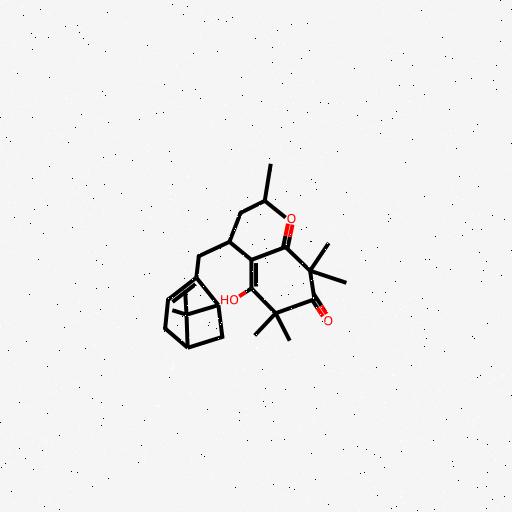 CC(C)CC(CC1=CCC2CC1C2(C)C)C1=C(O)C(C)(C)C(=O)C(C)(C)C1=O